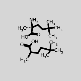 CC(C)(C)CC[C@](C)(N)C(=O)O.CC(CCC(C)(C)C)C(=O)O